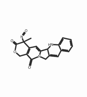 CC1(N=O)C(=O)OCc2c1cc1n(c2=O)CC2=Cc3ccccc3NC21